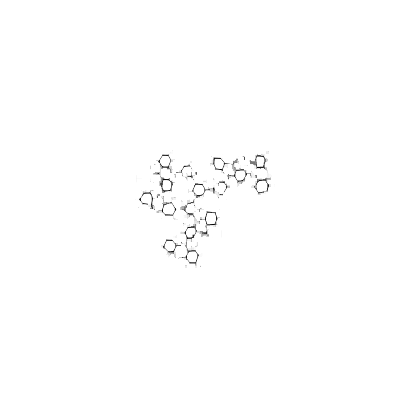 CC1(C)c2ccccc2N(c2ccnc(-c3cc(-c4nccc(N5c6ccccc6C(C)(C)c6cc(N7c8ccccc8Sc8ccccc87)ccc65)n4)cc(-c4nccc(N5c6ccccc6C(C)(C)c6cc(N7c8ccccc8Sc8ccccc87)ccc65)n4)c3)n2)c2ccc(N3c4ccccc4Sc4ccccc43)cc21